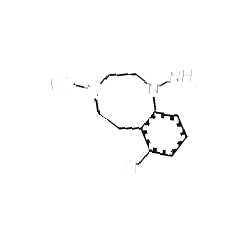 CN1CCc2c(Cl)cccc2N(N)CC1